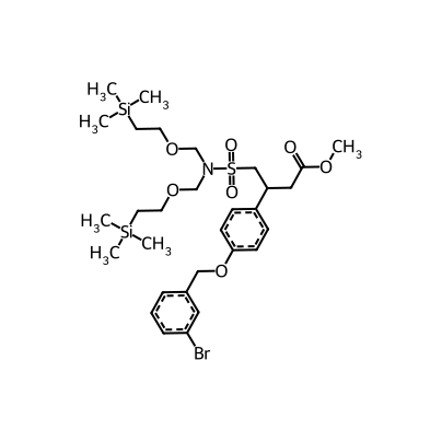 COC(=O)CC(CS(=O)(=O)N(COCC[Si](C)(C)C)COCC[Si](C)(C)C)c1ccc(OCc2cccc(Br)c2)cc1